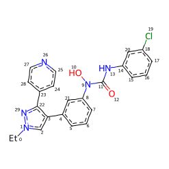 CCn1cc(-c2cccc(N(O)C(=O)Nc3cccc(Cl)c3)c2)c(-c2ccncc2)n1